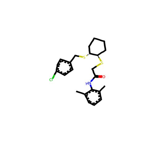 Cc1cccc(C)c1NC(=O)CS[C@@H]1CCCC[C@H]1SCc1ccc(Cl)cc1